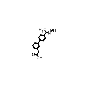 C/C(=N\O)c1ccc(-c2cccc(CC(=O)O)c2)cc1